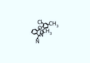 CO/N=C(/C#N)c1ccccc1COc1ccc(C)cc1Cl